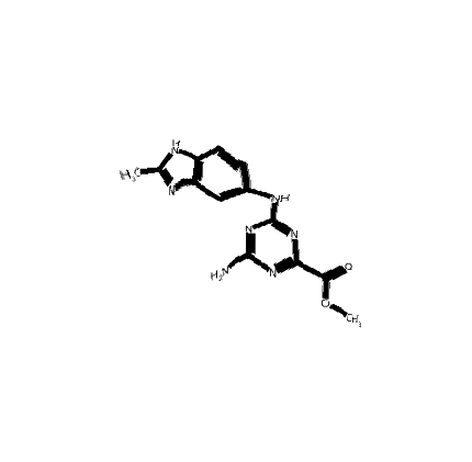 COC(=O)c1nc(N)nc(Nc2ccc3[nH]c(C)nc3c2)n1